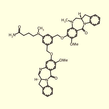 COc1cc2c(cc1OCc1cc(COc3cc4c(cc3OC)C(=O)N3c5ccccc5C[C@H]3CN4C)cc(N(C)CCCC(N)=O)c1)N=C[C@@H]1Cc3ccccc3N1C2=O